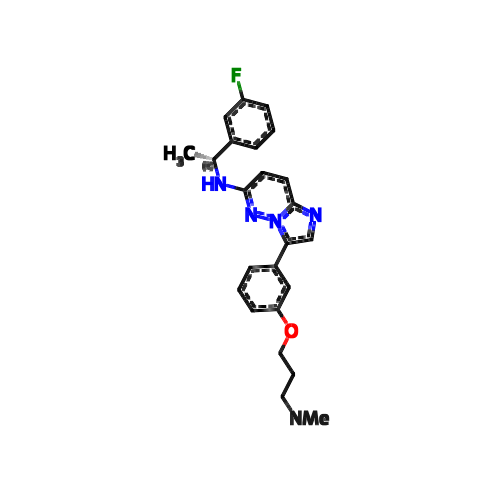 CNCCCOc1cccc(-c2cnc3ccc(N[C@H](C)c4cccc(F)c4)nn23)c1